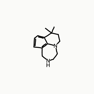 CC1(C)CCN2CCNCc3cccc1c32